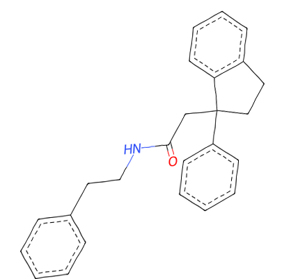 O=C(CC1(c2ccccc2)CCc2ccccc21)NCCc1ccccc1